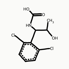 CC(O)C(NC(=O)O)c1c(Cl)cccc1Cl